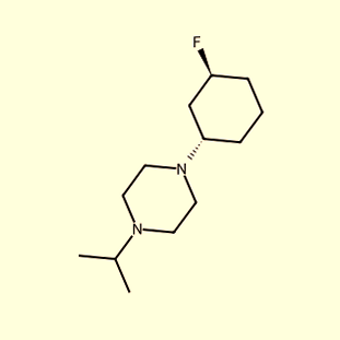 CC(C)N1CCN([C@H]2CCC[C@H](F)C2)CC1